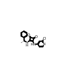 C[C@@H](Nc1c(Nc2ccnc(Cl)c2)c(=O)c1=O)c1ccccc1